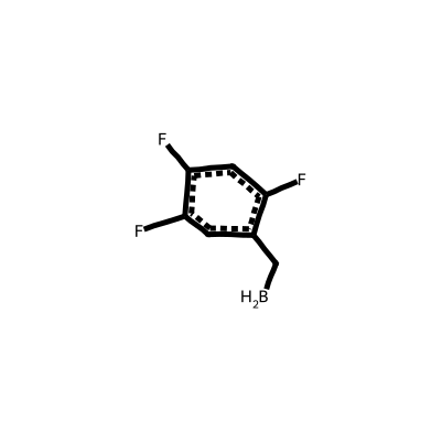 BCc1cc(F)c(F)cc1F